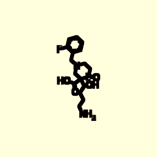 NCCCCC1(C(=O)O)CN(Cc2ccccc2F)CCP1(=O)O